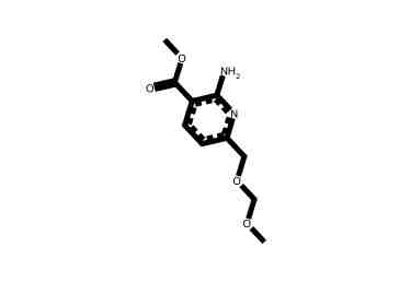 COCOCc1ccc(C(=O)OC)c(N)n1